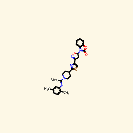 COC(=Nc1cc(C)ccc1C)N1CCC(c2nc(C3=NOC(n4c(=O)oc5ccccc54)C3)cs2)CC1